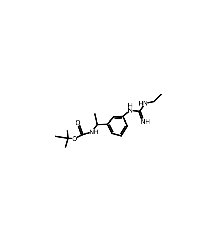 CCNC(=N)Nc1cccc(C(C)NC(=O)OC(C)(C)C)c1